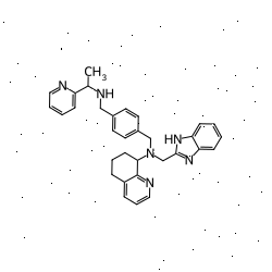 CC(NCc1ccc(CN(Cc2nc3ccccc3[nH]2)C2CCCc3cccnc32)cc1)c1ccccn1